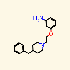 Nc1cccc(OCCN2CCC(Cc3ccccc3)CC2)c1